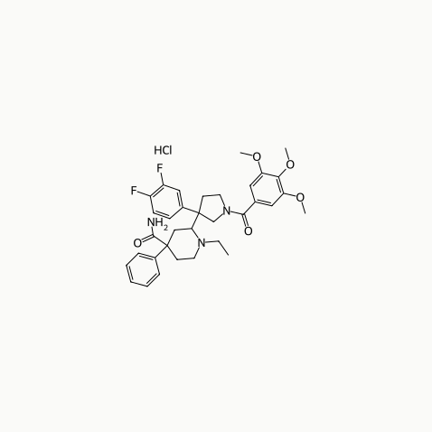 CCN1CCC(C(N)=O)(c2ccccc2)CC1C1(c2ccc(F)c(F)c2)CCN(C(=O)c2cc(OC)c(OC)c(OC)c2)C1.Cl